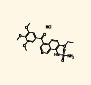 CCOc1ccc2c(C(=O)c3cc(OC)c(OC)c(OC)c3)cncc2c1NS(N)(=O)=O.Cl